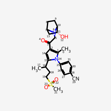 Cc1c(C(=O)CN2C3CCC2[C@H](O)C3)cc(C(C)CCS(C)(=O)=O)n1-c1ccc(C#N)cc1